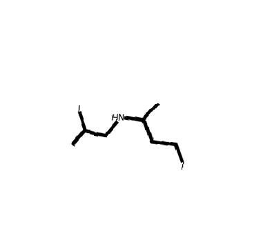 CC(I)CNC(C)CCI